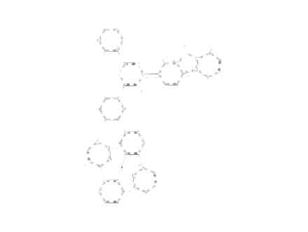 c1ccc(-c2nc(-c3cccc(-c4ccc5c(c4)C4(c6ccccc6-c6ccccc64)c4ccccc4-5)c3)nc(-c3ccc4c(c3)oc3ccccc34)n2)cc1